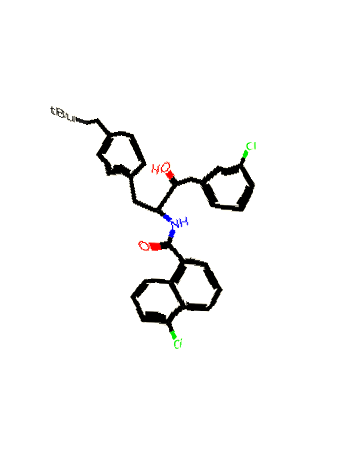 CC(C)(C)Cc1ccc(CC(NC(=O)c2cccc3c(Cl)cccc23)C(O)c2cccc(Cl)c2)cc1